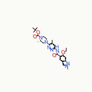 CCOc1cc2nn(C)cc2cc1C(=O)Nc1cc(C)c(N2CCN(C(=O)OC(C)(C)C)[C@@H](C)C2)nn1